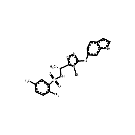 CCn1c(Oc2ccc3cc[nH]c3c2)nnc1[C@@H](C)NS(=O)(=O)c1cc(C(F)(F)F)ccc1C(F)(F)F